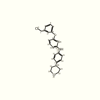 ClCc1cccc(Sc2ccnc(Nc3ccc(N4CCOCC4)cc3)n2)c1